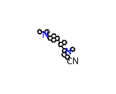 N#Cc1cc2ccc3cc(-c4ccc(-c5ccc6ccc7c(-c8cccc(-c9ccccc9)n8)ccc8ccc5c6c87)c5ccccc45)cc4c3c2c(c1)n4-c1ccccc1